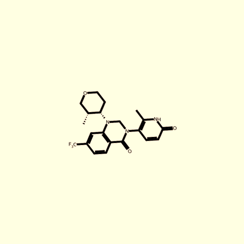 Cc1[nH]c(=O)ccc1N1CN([C@H]2CCOC[C@H]2C)c2cc(C(F)(F)F)ccc2C1=O